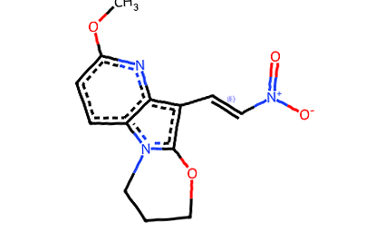 COc1ccc2c(n1)c(/C=C/[N+](=O)[O-])c1n2CCCO1